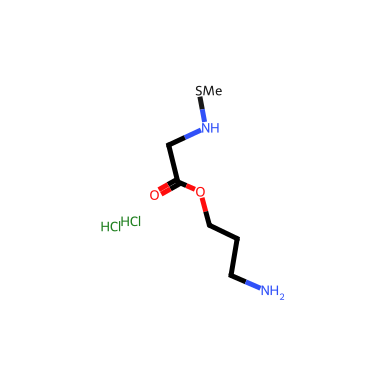 CSNCC(=O)OCCCN.Cl.Cl